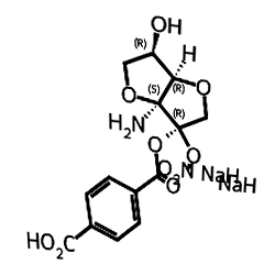 N[C@]12OC[C@@H](O)[C@H]1OC[C@@]2(OC(=O)c1ccc(C(=O)O)cc1)O[N+](=O)[O-].[NaH].[NaH]